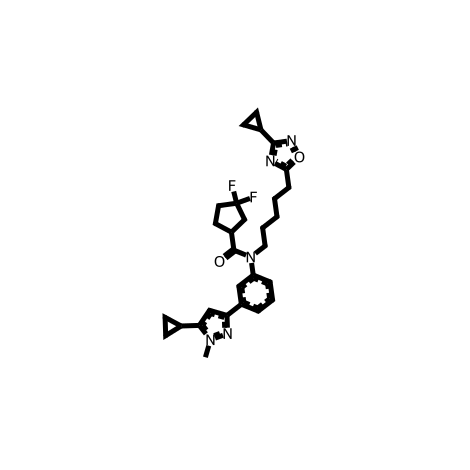 Cn1nc(-c2cccc(N(CCCCCc3nc(C4CC4)no3)C(=O)C3CCC(F)(F)C3)c2)cc1C1CC1